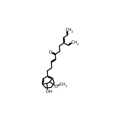 C=C/C=C(\C=C)CCC(=O)/C=C/CCC1=C2CCCC(=C1)C(O)C2OC